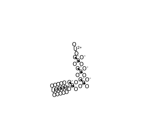 O=P([O-])([O-])[O-].O=P([O-])([O-])[O-].O=P([O-])([O-])[O-].O=P([O-])([O-])[O-].[O]=[U+2]=[O].[O]=[U+2]=[O].[O]=[U+2]=[O].[O]=[U+2]=[O].[O]=[U+2]=[O].[O]=[U+2]=[O]